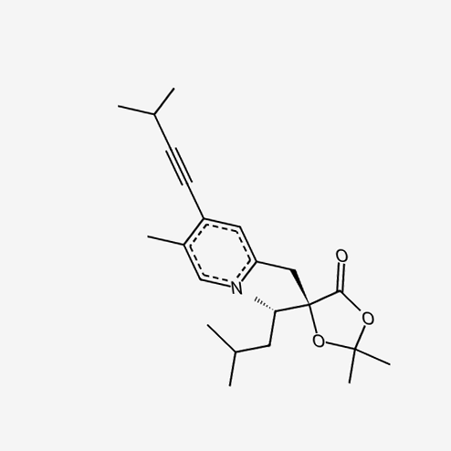 Cc1cnc(C[C@]2([C@@H](C)CC(C)C)OC(C)(C)OC2=O)cc1C#CC(C)C